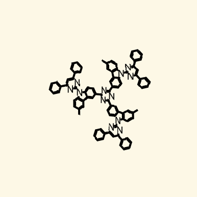 Cc1ccc2c(c1)c1cc(-c3nc(-c4ccc5c(c4)c4cc(C)ccc4n5-c4nc(-c5ccccc5)cc(-c5ccccc5)n4)nc(-c4ccc5c(c4)c4cc(C)ccc4n5-c4nc(-c5ccccc5)cc(-c5ccccc5)n4)n3)ccc1n2-c1nc(-c2ccccc2)cc(-c2ccccc2)n1